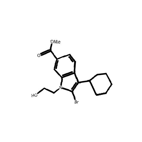 COC(=O)c1ccc2c(C3CCCCC3)c(Br)n(CCO)c2c1